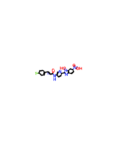 O=C(/C=C/c1ccc(F)cc1)Nc1ccc(-c2nc3ccc([N+](=O)O)cc3n2O)nc1